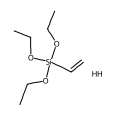 C=C[Si](OCC)(OCC)OCC.[HH]